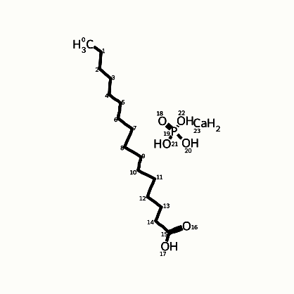 CCCCCCCCCCCCCCCC(=O)O.O=P(O)(O)O.[CaH2]